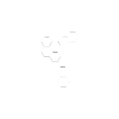 O=C(OC1CCCCC1)c1ccc2c(ccc3cccc(C(=O)OC4CCCCC4)c32)c1